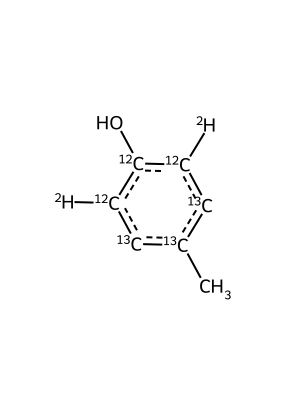 [2H][12c]1[13cH][13c](C)[13cH][12c]([2H])[12c]1O